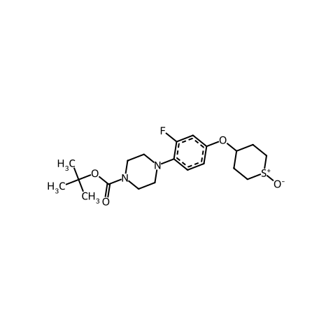 CC(C)(C)OC(=O)N1CCN(c2ccc(OC3CC[S+]([O-])CC3)cc2F)CC1